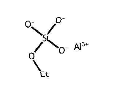 CCO[Si]([O-])([O-])[O-].[Al+3]